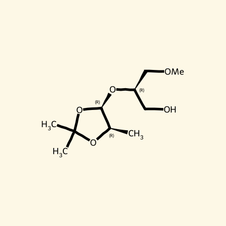 COC[C@@H](CO)O[C@@H]1OC(C)(C)O[C@@H]1C